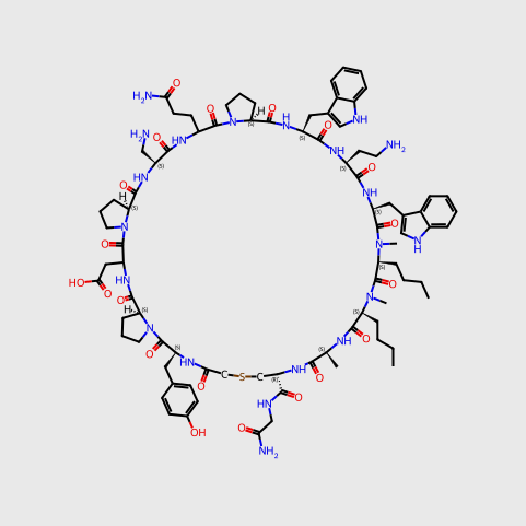 CCCC[C@H]1C(=O)N(C)[C@@H](CCCC)C(=O)N[C@@H](C)C(=O)N[C@H](C(=O)NCC(N)=O)CSCC(=O)N[C@@H](Cc2ccc(O)cc2)C(=O)N2CCC[C@H]2C(=O)NC(CC(=O)O)C(=O)N2CCC[C@H]2C(=O)N[C@@H](CN)C(=O)NC(CCC(N)=O)C(=O)N2CCC[C@H]2C(=O)N[C@@H](Cc2c[nH]c3ccccc23)C(=O)N[C@@H](CCN)C(=O)N[C@@H](Cc2c[nH]c3ccccc23)C(=O)N1C